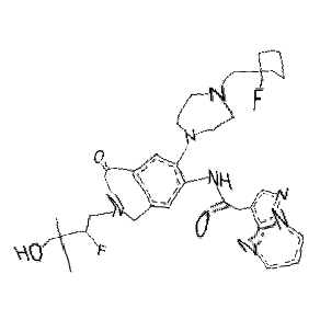 CC(C)(O)C(F)CN1Cc2cc(NC(=O)c3cnn4cccnc34)c(N3CCN(CC4(F)CCC4)CC3)cc2C1=O